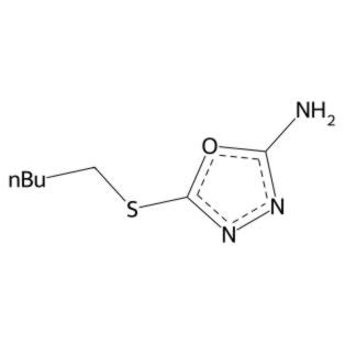 CCCCCSc1nnc(N)o1